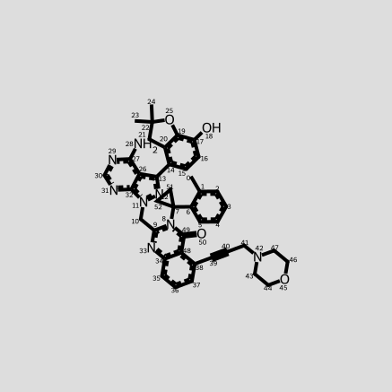 Cc1ccccc1C1(n2c(Cn3nc(-c4ccc(O)c5c4CC(C)(C)O5)c4c(N)ncnc43)nc3cccc(C#CCN4CCOCC4)c3c2=O)CC1